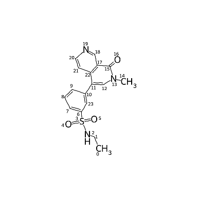 CCNS(=O)(=O)c1cccc(-c2cn(C)c(=O)c3cnccc23)c1